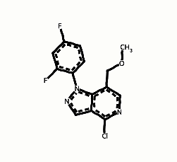 COCc1cnc(Cl)c2cnn(-c3ccc(F)cc3F)c12